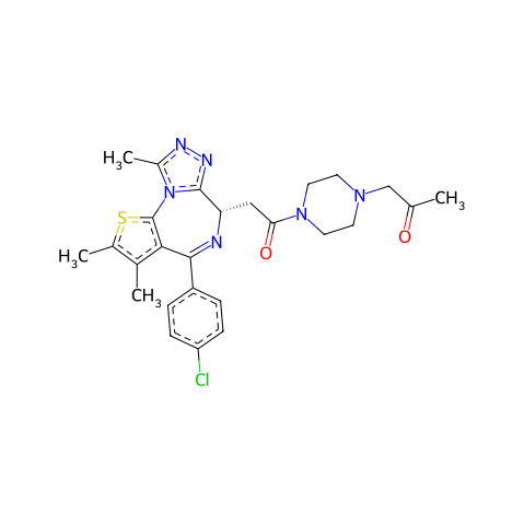 CC(=O)CN1CCN(C(=O)C[C@@H]2N=C(c3ccc(Cl)cc3)c3c(sc(C)c3C)-n3c(C)nnc32)CC1